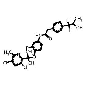 Cc1nc(C(C)(C)Oc2ccc(NC(=O)Cc3ccc(C(F)(F)C(C)O)cc3)cc2F)c(Cl)cc1Cl